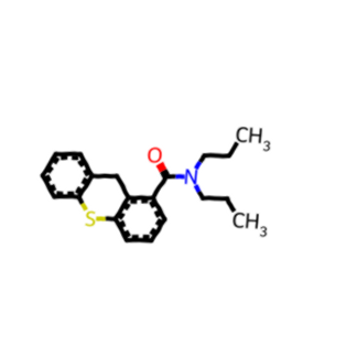 CCCN(CCC)C(=O)c1cccc2c1Cc1ccccc1S2